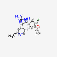 Cc1cc(-c2nc(N)[nH]c2-c2ccc(OC3CC3)c(F)c2)ccn1